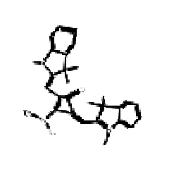 CCN(CC)C1=C(/C=C2/N(C)c3ccccc3C2(C)C)C(=O)/C1=C\C1=[N+](C)c2ccccc2C1(C)C